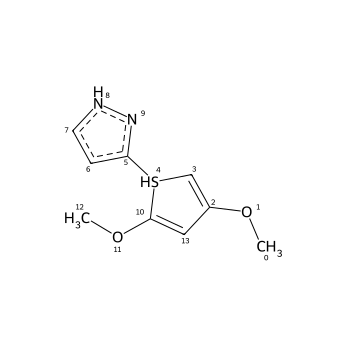 COC1=C[SH](c2cc[nH]n2)C(OC)=C1